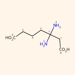 NC(N)(CCCC(=O)O)CC(=O)O